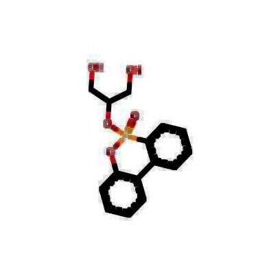 O=P1(OC(CO)CO)Oc2ccccc2-c2ccccc21